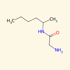 CCCCC(C)NC(=O)CN